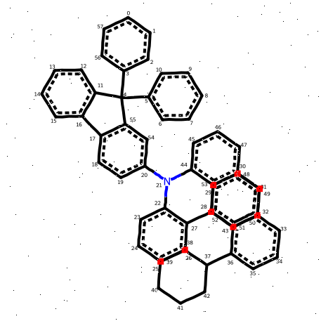 c1ccc(C2(c3ccccc3)c3ccccc3-c3ccc(N(c4ccccc4-c4cccc5cccc(C6CCCCC6)c45)c4cccc5ccccc45)cc32)cc1